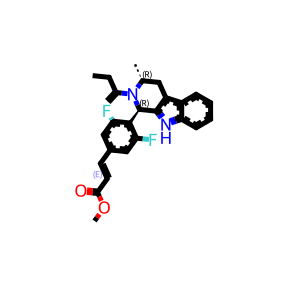 C=C(CC)N1[C@H](c2c(F)cc(/C=C/C(=O)OC)cc2F)c2[nH]c3ccccc3c2C[C@H]1C